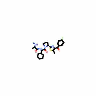 CNC(C)C(=O)NC(C(=O)N1CCC[C@H]1c1nc(C(=O)c2ccc(F)cc2)c(C)s1)C1CCCCC1